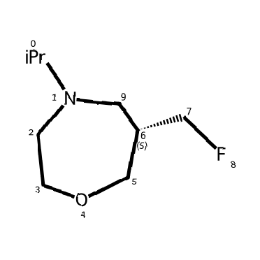 CC(C)N1CCOC[C@@H](CF)C1